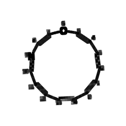 C1=CC=CC=COC=CN=CC=CC=C1